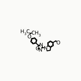 CC(C)Oc1ccc(-c2nc(N3CCc4cc(C=O)ccc43)no2)cc1